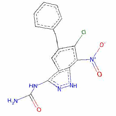 NC(=O)Nc1n[nH]c2c([N+](=O)[O-])c(Cl)c(-c3ccccc3)cc12